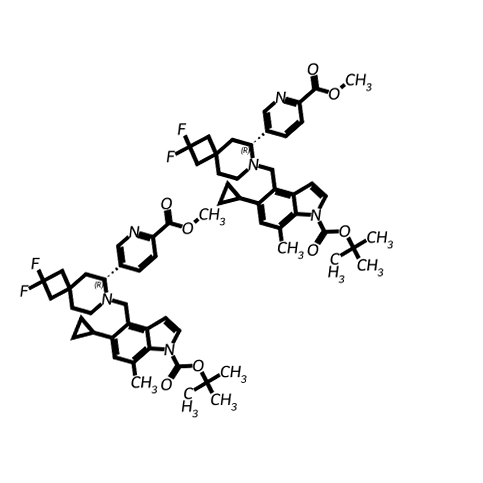 COC(=O)c1ccc([C@H]2CC3(CCN2Cc2c(C4CC4)cc(C)c4c2ccn4C(=O)OC(C)(C)C)CC(F)(F)C3)cn1.COC(=O)c1ccc([C@H]2CC3(CCN2Cc2c(C4CC4)cc(C)c4c2ccn4C(=O)OC(C)(C)C)CC(F)(F)C3)cn1